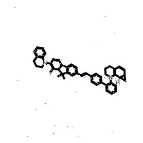 CC1(C)c2cc(/C=C/c3ccc(-c4ccccc4N4CCCC5=C4[C@@H]4CC4C=C5)cc3)ccc2C2C=CC(N3CCCc4ccccc43)=C(I)C21